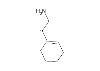 NC[CH]C1=CCCCC1